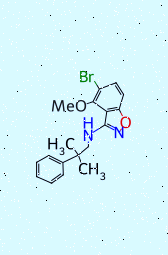 COc1c(Br)ccc2onc(NCC(C)(C)c3ccccc3)c12